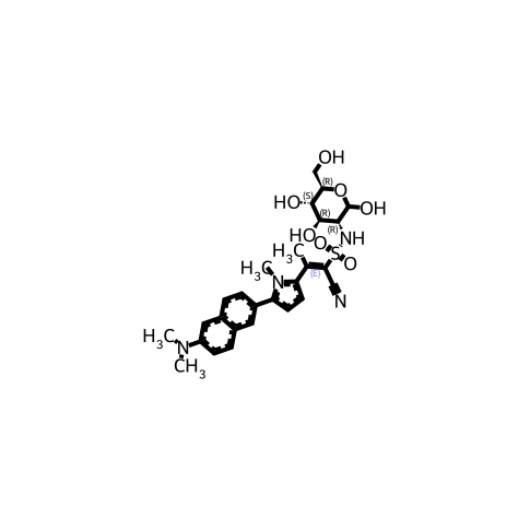 C/C(=C(/C#N)S(=O)(=O)N[C@H]1C(O)O[C@H](CO)[C@@H](O)[C@@H]1O)c1ccc(-c2ccc3cc(N(C)C)ccc3c2)n1C